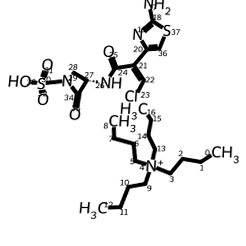 CCCC[N+](CCCC)(CCCC)CCCC.Nc1nc(C(=CCl)C(=O)N[C@H]2CN(S(=O)(=O)O)C2=O)cs1